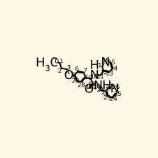 CCCCOc1ccc(C(NCc2cccnc2)C(=O)NCc2cccnc2)cc1